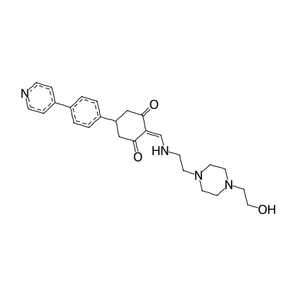 O=C1CC(c2ccc(-c3ccncc3)cc2)CC(=O)C1=CNCCN1CCN(CCO)CC1